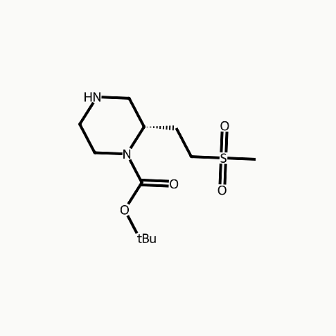 CC(C)(C)OC(=O)N1CCNC[C@@H]1CCS(C)(=O)=O